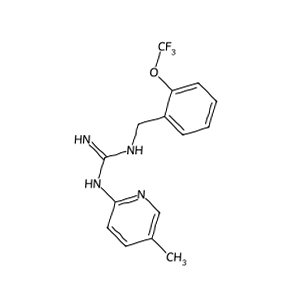 Cc1ccc(NC(=N)NCc2ccccc2OC(F)(F)F)nc1